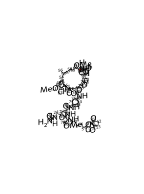 C=C(CCCCC(=O)ON1C(=O)CCC1=O)N[C@H](C(=O)N[C@@H](CCCNC(N)=O)C(=O)Nc1ccc(NC(=O)O[C@H]2CC(=O)N(C)c3cc(cc(OC)c3Cl)C/C(C)=C/C=C/[C@@H](OC)[C@@]3(O)C[C@H](OC(=O)N3)[C@@H](C)[C@@H]3O[C@@]23C)cc1)C(C)OC